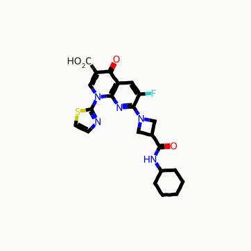 O=C(O)c1cn(-c2nccs2)c2nc(N3CC(C(=O)NC4CCCCC4)C3)c(F)cc2c1=O